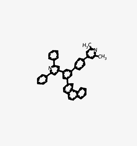 Cc1cc(-c2ccc(-c3cc(-c4cc(-c5ccccc5)nc(-c5ccccc5)c4)cc(-c4ccc5ccc6ccccc6c5c4)c3)cc2)cc(C)n1